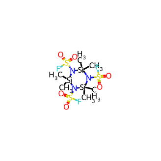 C[Si]1(C)N(S(=O)(=O)F)[Si](C)(C)N(S(=O)(=O)F)[Si](C)(C)N1S(=O)(=O)F